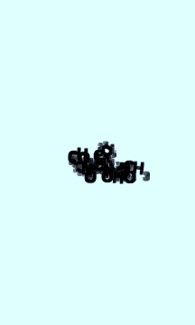 Cc1ccccc1C(CC(=NO)c1ccc(=O)n(C)c1)c1ccc(C(=O)N2CCC(CC(=O)O)CC2)cc1